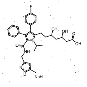 Cc1cc(CNC(=O)c2c(-c3ccccc3)c(-c3ccc(F)cc3)c(CC[C@@H](O)C[C@@H](O)CC(=O)O)n2C(C)C)n[nH]1.[NaH]